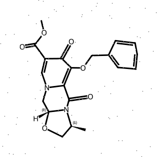 COC(=O)c1cn2c(c(OCc3ccccc3)c1=O)C(=O)N1[C@@H](C)CO[C@@H]1C2